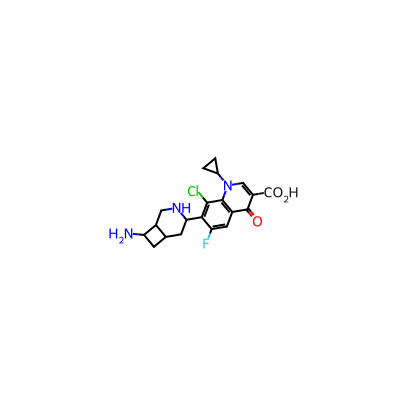 NC1CC2CC(c3c(F)cc4c(=O)c(C(=O)O)cn(C5CC5)c4c3Cl)NCC12